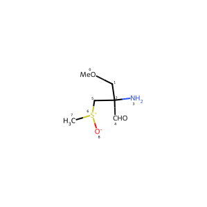 COCC(N)(C=O)C[S+](C)[O-]